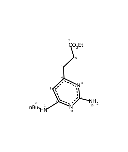 CCCCNc1cc(CCC(=O)OCC)nc(N)n1